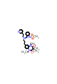 CCN1C(=O)C(C)(C)C(=O)N(C)c2cc(CCCN(CCc3cccnc3)Cc3ccccc3NS(C)(=O)=O)ccc21